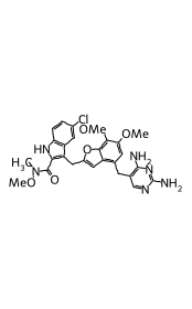 COc1cc(Cc2cnc(N)nc2N)c2cc(Cc3c(C(=O)N(C)OC)[nH]c4ccc(Cl)cc34)oc2c1OC